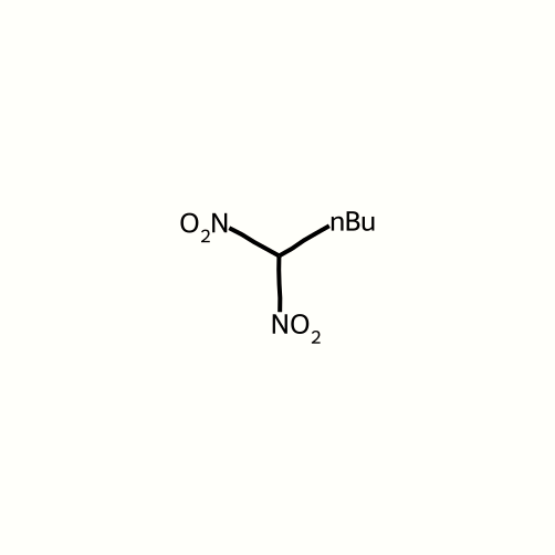 CCCCC([N+](=O)[O-])[N+](=O)[O-]